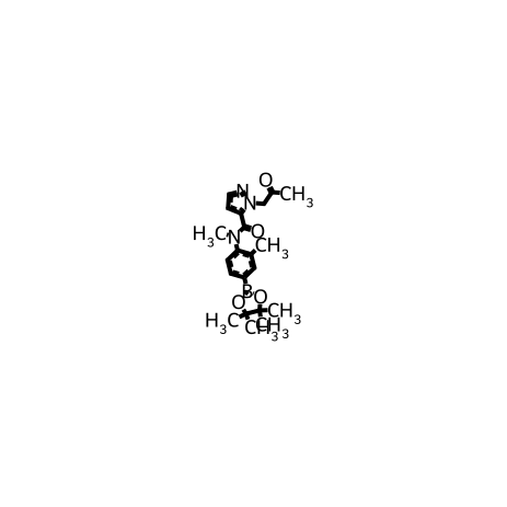 CC(=O)Cn1nccc1C(=O)N(C)c1ccc(B2OC(C)(C)C(C)(C)O2)cc1C